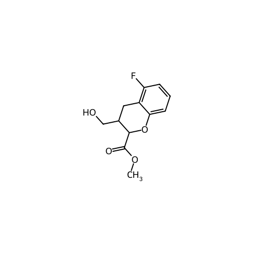 COC(=O)C1Oc2cccc(F)c2CC1CO